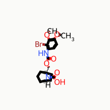 COc1ccc(NC(=O)OC[C@]23CCC[C@H](CC2)N3C(=O)O)c(Br)c1OC